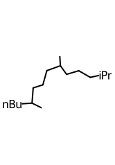 CCCCC(C)CCCC(C)CCCC(C)C